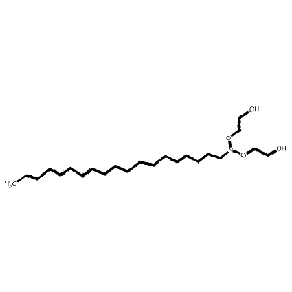 CCCCCCCCCCCCCCCCCCCN(OCCO)OCCO